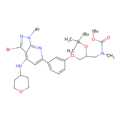 CC(C)n1nc(Br)c2c(NC3CCOCC3)cc(-c3cccc(OCC(CN(C)C(=O)OC(C)(C)C)O[Si](C)(C)C(C)(C)C)c3)nc21